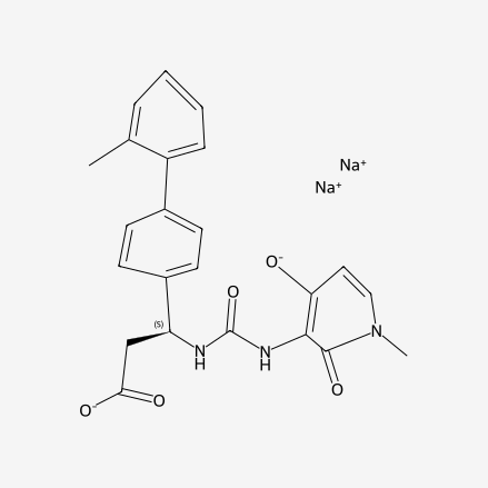 Cc1ccccc1-c1ccc([C@H](CC(=O)[O-])NC(=O)Nc2c([O-])ccn(C)c2=O)cc1.[Na+].[Na+]